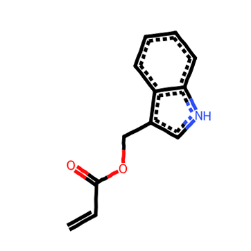 C=CC(=O)OCc1c[nH]c2ccccc12